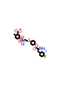 COC(=O)c1cc(S(=O)(=O)NCCSc2ccc(OC(=O)[C@@H](N)Cc3ccc(F)cc3)cc2)ccc1C